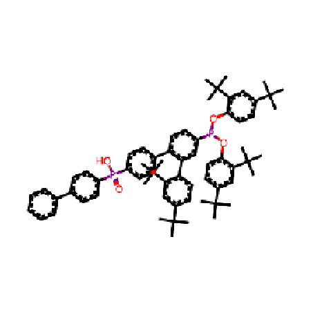 CC(C)(C)c1ccc(OP(Oc2ccc(C(C)(C)C)cc2C(C)(C)C)c2ccc(-c3ccc(P(=O)(O)c4ccc(-c5ccccc5)cc4)cc3)c(-c3ccc(C(C)(C)C)cc3C(C)(C)C)c2)c(C(C)(C)C)c1